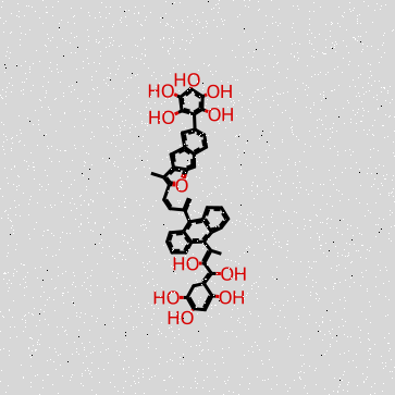 C=C(/C=C\c1oc2cc3ccc(-c4c(O)c(O)c(O)c(O)c4O)cc3cc2c1C)c1c2ccccc2c(/C(C)=C(O)/C(O)=C2\CC(O)=C(O)C=C2O)c2ccccc12